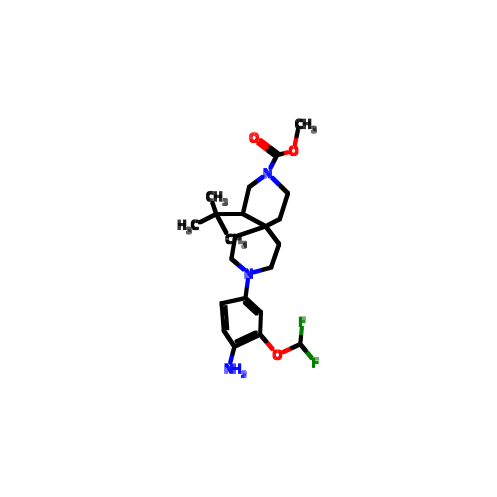 COC(=O)N1CCC2(CCN(c3ccc(N)c(OC(F)F)c3)CC2)C(C(C)(C)C)C1